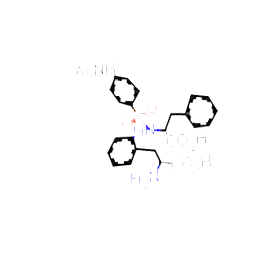 CC(=O)Nc1ccc(S(=O)(=O)N[C@@H](Cc2ccccc2)C(=O)O)cc1.N[C@@H](Cc1ccccc1)C(=O)O